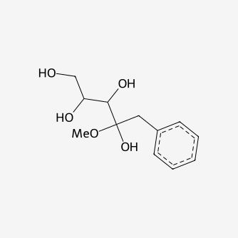 COC(O)(Cc1ccccc1)C(O)C(O)CO